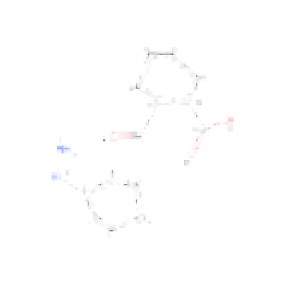 NNc1ccccc1.O=Cc1ccccc1C(=O)O